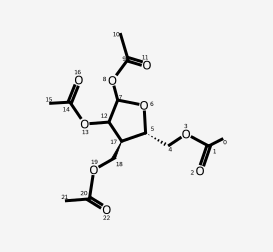 CC(=O)OC[C@H]1OC(OC(C)=O)C(OC(C)=O)[C@@H]1COC(C)=O